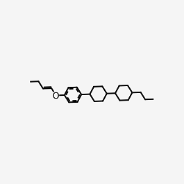 CCC=COc1ccc(C2CCC(C3CCC(CCC)CC3)CC2)cc1